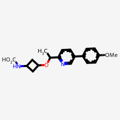 COc1ccc(-c2ccc(C(C)OC3CC(NC(=O)O)C3)nc2)cc1